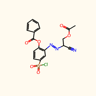 CC(=O)OCC(C#N)N=Nc1cc(S(=O)(=O)Cl)ccc1OC(=O)c1ccccc1